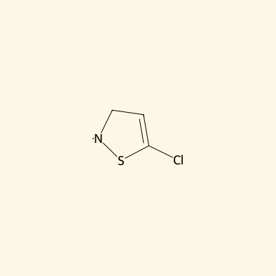 ClC1=CC[N]S1